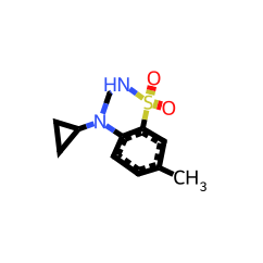 Cc1ccc2c(c1)S(=O)(=O)NCN2C1CC1